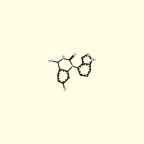 O=C1NC(O)c2ccc(Cl)cc2N1c1cccc2[nH]ncc12